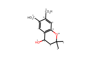 CC1(C)CC(O)c2cc(C(=O)O)c(C(=O)O)cc2O1